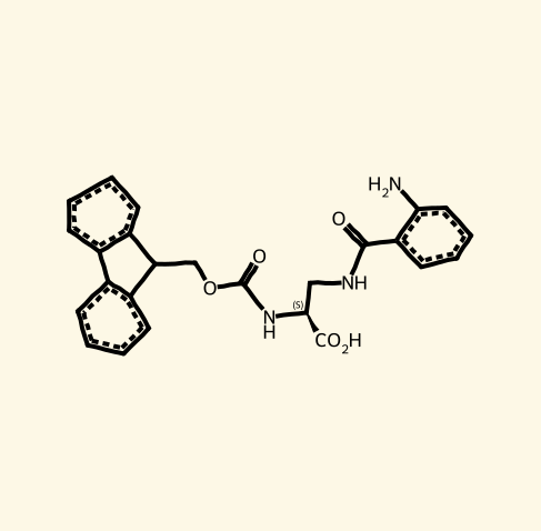 Nc1ccccc1C(=O)NC[C@H](NC(=O)OCC1c2ccccc2-c2ccccc21)C(=O)O